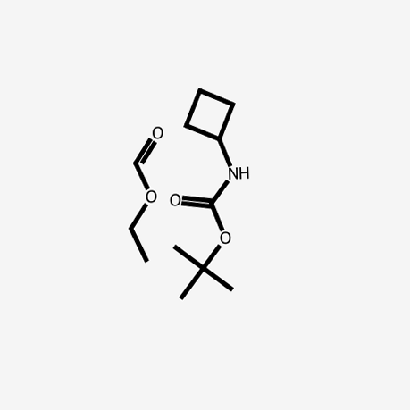 CC(C)(C)OC(=O)NC1CCC1.CCOC=O